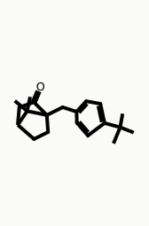 CC(C)(C)c1ccc(CC23CCC(CC2=O)C3(C)C)cc1